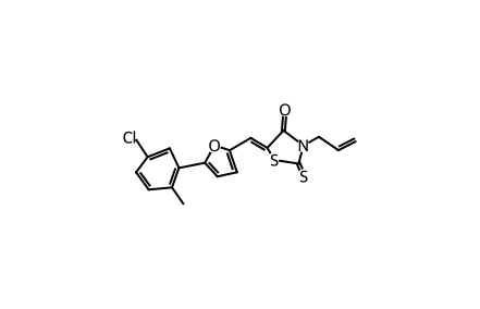 C=CCN1C(=O)C(=Cc2ccc(-c3cc(Cl)ccc3C)o2)SC1=S